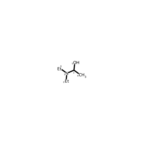 CCN(CC)C(C)O